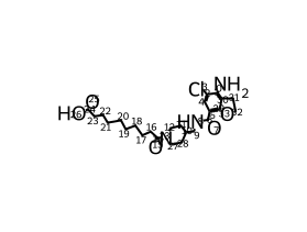 Nc1c(Cl)cc(C(=O)NCC2CCN(C(=O)CCCCCCCCC(=O)O)CC2)c2c1CCO2